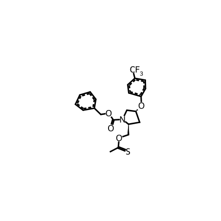 CC(=S)OC[C@@H]1C[C@@H](Oc2ccc(C(F)(F)F)cc2)CN1C(=O)OCc1ccccc1